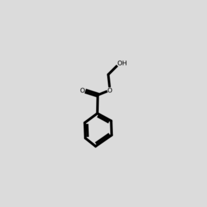 O=C(OCO)c1ccccc1